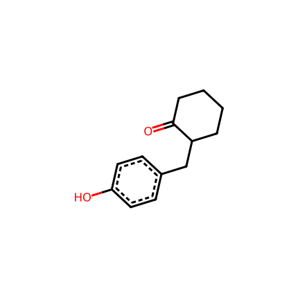 O=C1CCCCC1Cc1ccc(O)cc1